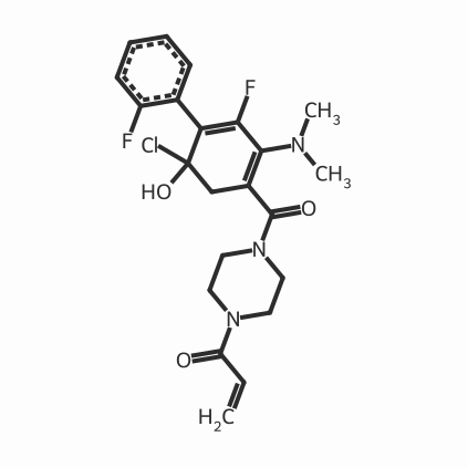 C=CC(=O)N1CCN(C(=O)C2=C(N(C)C)C(F)=C(c3ccccc3F)C(O)(Cl)C2)CC1